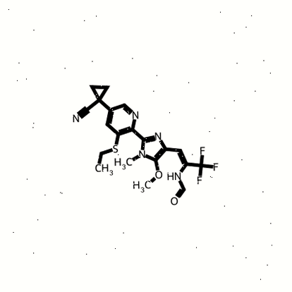 CCSc1cc(C2(C#N)CC2)cnc1-c1nc(/C=C(\NC=O)C(F)(F)F)c(OC)n1C